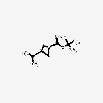 CC(C)C1CN(C(=O)OC(C)(C)C)C1